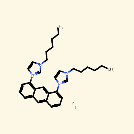 CCCCCCn1cc[n+](-c2cccc3cc4cccc(-[n+]5ccn(CCCCCC)c5)c4cc23)c1.[I-].[I-]